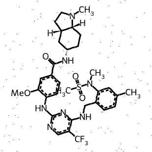 COc1cc(C(=O)N[C@H]2CC[C@@H]3[C@@H](CCN3C)C2)ccc1Nc1ncc(C(F)(F)F)c(NCc2ccc(C)cc2N(C)S(C)(=O)=O)n1